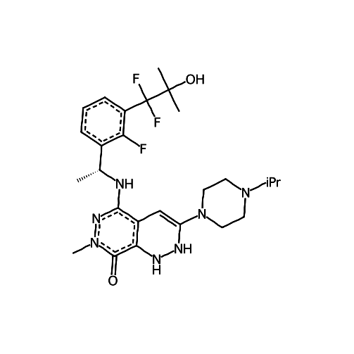 CC(C)N1CCN(C2=Cc3c(N[C@H](C)c4cccc(C(F)(F)C(C)(C)O)c4F)nn(C)c(=O)c3NN2)CC1